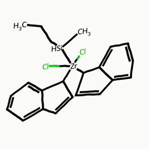 CCC[SiH](C)[Zr]([Cl])([Cl])([CH]1C=Cc2ccccc21)[CH]1C=Cc2ccccc21